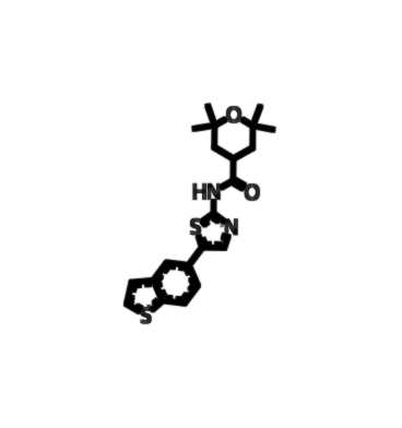 CC1(C)CC(C(=O)Nc2ncc(-c3ccc4sccc4c3)s2)CC(C)(C)O1